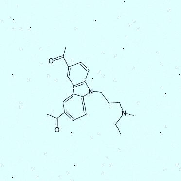 CCN(C)CCCn1c2ccc(C(C)=O)cc2c2cc(C(C)=O)ccc21